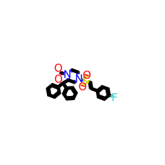 O=C1OC(c2ccccc2)(c2ccccc2)C2CN(S(=O)(=O)C=Cc3ccc(F)cc3)CCN12